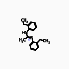 CCc1ccccc1/N=C(\C)Nc1ccccc1CC